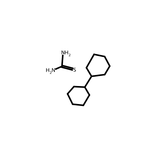 C1CCC(C2CCCCC2)CC1.NC(N)=S